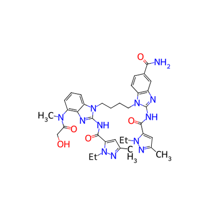 CCn1nc(C)cc1C(=O)Nc1nc2cc(C(N)=O)ccc2n1CCCCn1c(NC(=O)c2cc(C)nn2CC)nc2c(N(C)C(=O)CO)cccc21